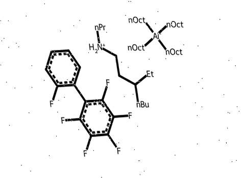 CCCCC(CC)CC[NH2+]CCC.CCCCCCC[CH2][Al-]([CH2]CCCCCCC)([CH2]CCCCCCC)[CH2]CCCCCCC.Fc1ccccc1-c1c(F)c(F)c(F)c(F)c1F